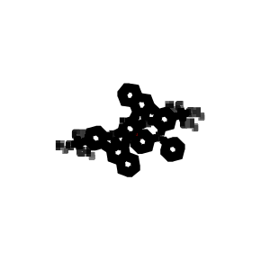 CC(C)(C)c1ccc2c(c1)c1cc3ccccc3c3c4nc5c(nc4n2c13)c1c2ccccc2cc2c3cc(C(C)(C)C)cc(N(c4ccccc4)c4ccccc4)c3n5c21